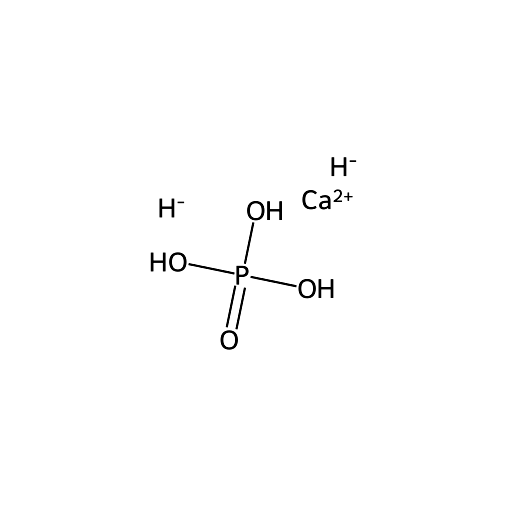 O=P(O)(O)O.[Ca+2].[H-].[H-]